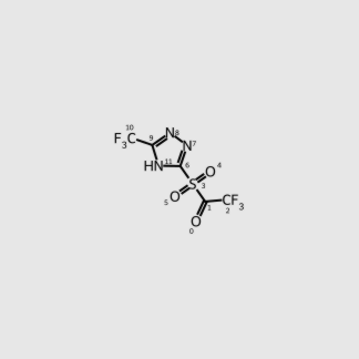 O=C(C(F)(F)F)S(=O)(=O)c1nnc(C(F)(F)F)[nH]1